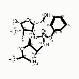 B[C@@H]1O[C@H](CO)[C@@H](OP(=O)(N[C@@H](C)C(=O)OC(C)C)Oc2ccccc2)[C@@]1(C)Cl